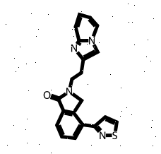 O=C1c2cccc(-c3ccsn3)c2CN1CCc1cn2ccccc2n1